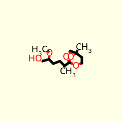 COC(CO)CCC(C)C12OCCC(C)(CO1)O2